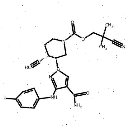 C#C[C@@H]1CCN(C(=O)OCC(C)(C)C#N)C[C@H]1n1cc(C(N)=O)c(Nc2ccc(F)cc2)n1